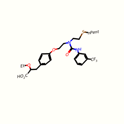 CCCCCSCCN(CCOc1ccc(CC(OCC)C(=O)O)cc1)C(=O)Nc1cccc(C(F)(F)F)c1